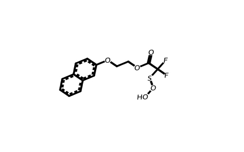 O=C(OCCOc1ccc2ccccc2c1)C(F)(F)SOO